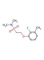 Cc1[c]ccc(OCCS(=O)(=O)N(C)C)c1F